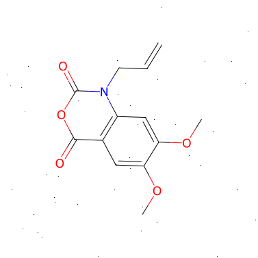 C=CCn1c(=O)oc(=O)c2cc(OC)c(OC)cc21